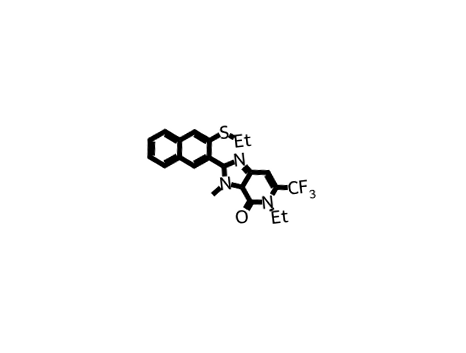 CCSc1cc2ccccc2cc1C1N=C2C=C(C(F)(F)F)N(CC)C(=O)C2N1C